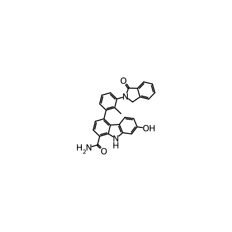 Cc1c(-c2ccc(C(N)=O)c3[nH]c4cc(O)ccc4c23)cccc1N1Cc2ccccc2C1=O